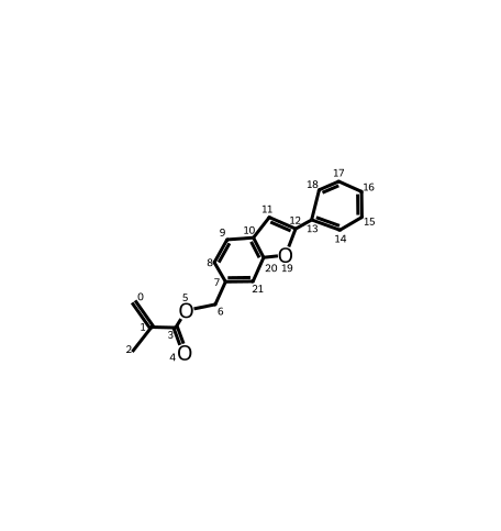 C=C(C)C(=O)OCc1ccc2cc(-c3ccccc3)oc2c1